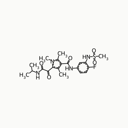 Cc1c(C(=O)Nc2ccc(F)c(NS(C)(=O)=O)c2)c(C)n(C)c1C(=O)C(=O)NC(C)C